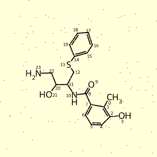 Cc1c(O)cccc1C(=O)NC(CSc1ccccc1)C(O)CN